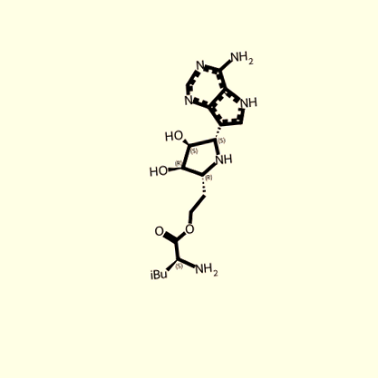 CCC(C)[C@H](N)C(=O)OCC[C@H]1N[C@@H](c2c[nH]c3c(N)ncnc23)[C@H](O)[C@@H]1O